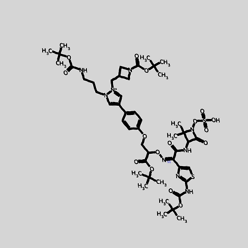 CC(C)(C)OC(=O)NCCCn1cc(-c2ccc(OCC(O/N=C(\C(=O)NC3C(=O)N(OS(=O)(=O)O)C3(C)C)c3csc(NC(=O)OC(C)(C)C)n3)C(=O)OC(C)(C)C)cc2)c[n+]1CC1CN(C(=O)OC(C)(C)C)C1